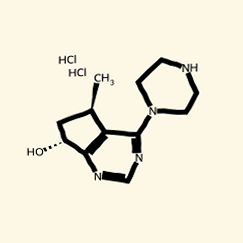 C[C@@H]1C[C@@H](O)c2ncnc(N3CCNCC3)c21.Cl.Cl